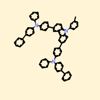 Cc1cccc(-n2c3ccc(-c4ccc(N(c5ccccc5)c5ccc(-c6ccccc6)cc5)cc4)cc3c3cc(-c4ccc(N(c5ccccc5)c5ccc(-c6ccccc6)cc5)cc4)ccc32)c1